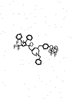 O=C(CC1=CC(Cc2ccc(OS(=O)(=O)C(F)(F)F)cc2)CN(Cc2ccccc2)CC1)c1cc(C(F)(F)F)n(-c2ccccc2)c1-c1ccccc1